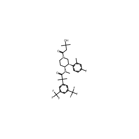 Cc1cc(F)ccc1[C@@H]1CN(C(=O)CC(C)(C)O)CC[C@@H]1N(C)C(=O)C(C)(C)c1cc(C(F)(F)F)cc(C(F)(F)F)c1